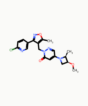 CO[C@H]1CN(c2cnn(Cc3c(-c4ccc(Cl)nc4)noc3C)c(=O)c2)[C@H]1C